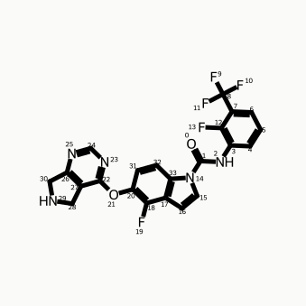 O=C(Nc1cccc(C(F)(F)F)c1F)n1ccc2c(F)c(Oc3ncnc4c3CNC4)ccc21